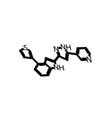 c1cncc(-c2cc(-c3cc4c(-c5ccsc5)cccc4[nH]3)n[nH]2)c1